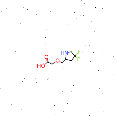 O=C(O)COCC1CC(F)(F)CN1